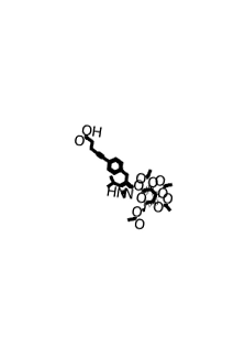 CC(=O)OC[C@H]1O[C@@H](Oc2n[nH]c(C(C)C)c2Cc2ccc(C#CCCC(=O)O)cc2)[C@H](OC(C)=O)[C@@H](OC(C)=O)[C@H]1OC(C)=O